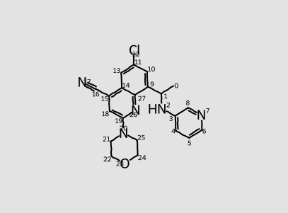 CC(Nc1cccnc1)c1cc(Cl)cc2c(C#N)cc(N3CCOCC3)nc12